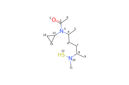 CC(=O)N(C(C)CCC(C)N(C)S)C1CC1